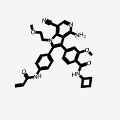 C=CC(=O)Nc1ccc(-c2c(-c3ccc(C(=O)NC4CCC4)c(OC)c3)c3c(N)ncc(C#N)c3n2CCOC)cc1